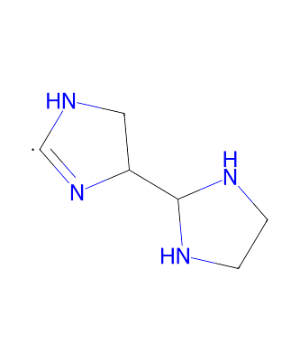 [C]1=NC(C2NCCN2)CN1